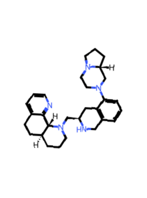 c1cnc2c(c1)CC[C@@H]1CCCN(C[C@H]3Cc4c(cccc4N4CCN5CCC[C@@H]5C4)CN3)[C@@H]21